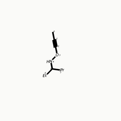 CC#CONC(CC)C(C)C